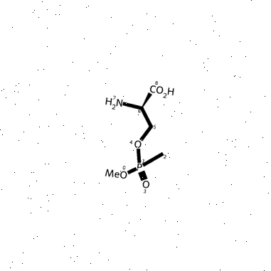 COP(C)(=O)OC[C@@H](N)C(=O)O